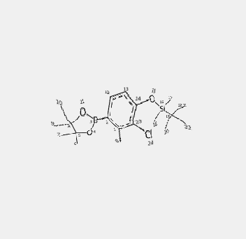 Cc1c(B2OC(C)(C)C(C)(C)O2)ccc(O[Si](C)(C)C(C)(C)C)c1Cl